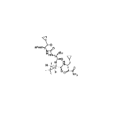 CCCCC[C@H](NC(=O)N[C@H](C(=O)N1C[C@H]2[C@@H]([C@H]1C(=O)NC(CC1CC1)C(=O)C(N)=O)C2(C)C)C(C)(C)C)C(=O)C1CC1